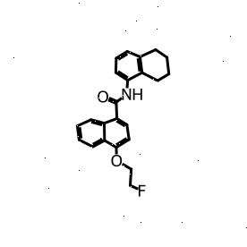 O=C(Nc1cccc2c1CCCC2)c1ccc(OCCF)c2ccccc12